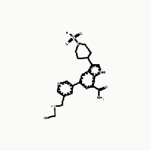 CCS(=O)(=O)N1CCC(c2c[nH]c3c(C(N)=O)cc(-c4cncc(CNCC(C)C)c4)cc23)CC1